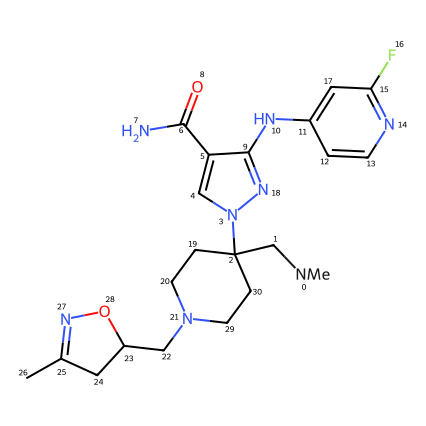 CNCC1(n2cc(C(N)=O)c(Nc3ccnc(F)c3)n2)CCN(CC2CC(C)=NO2)CC1